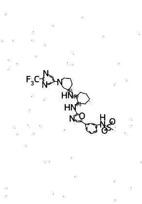 CS(=O)(=O)Nc1cccc(-c2cnc(N[C@@H]3CCCC[C@H]3N[C@H]3CCCN(c4cnc(C(F)(F)F)nc4)C3)o2)c1